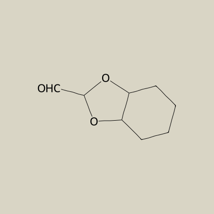 O=CC1OC2CCCCC2O1